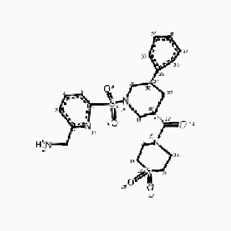 NCc1cccc(S(=O)(=O)N2C[C@@H](C(=O)N3CCS(=O)(=O)CC3)C[C@H](c3ccccc3)C2)n1